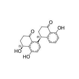 O=C1CC[C@H](c2ccc(O)c3c2C(=O)CC[C@@H]3O)c2cccc(O)c21